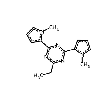 CCc1nc(-c2cccn2C)nc(-c2cccn2C)n1